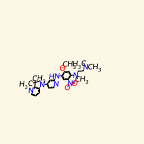 COc1cc(N(C)CCN(C)C)c([N+](=O)[O-])cc1Nc1cc(N2CC(C)(C)c3ncccc32)ccn1